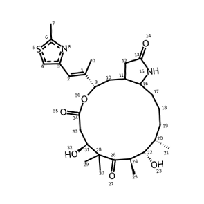 C/C(=C\c1csc(C)n1)[C@@H]1CC2CC(=O)NC2CCC[C@H](C)[C@H](O)[C@@H](C)C(=O)C(C)(C)[C@@H](O)CC(=O)O1